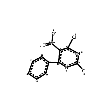 O=[N+]([O-])c1c(Cl)nc(Cl)nc1-c1ccccc1